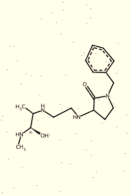 CN[C@H](O)C(C)NCCNC1CCN(Cc2ccccc2)C1=O